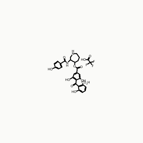 O=C(NC1CNCCCC1OC(=O)c1cc(O)c(C(=O)c2c(O)cccc2C(=O)O)c(O)c1)c1ccc(O)cc1.O=C(O)C(F)(F)F